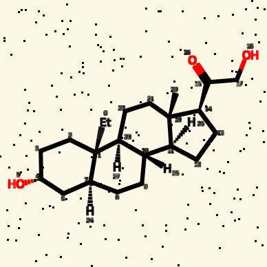 CC[C@]12CC[C@@H](O)C[C@@H]1CC[C@H]1[C@@H]3CC[C@H](C(=O)CO)[C@@]3(C)CC[C@@H]12